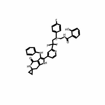 O=C(NC[C@@H](CC(F)(F)c1cc(-c2[nH]c3c(c2Nc2ccccc2)C(=O)NC2(CC2)C3)ccn1)c1ccc(F)cc1)c1ccccc1O